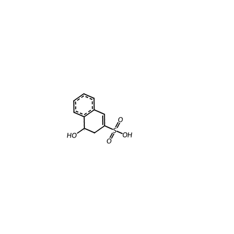 O=S(=O)(O)C1=Cc2ccccc2[C](O)C1